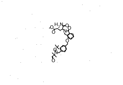 COC(=O)CCC(C(N)=O)N1Cc2c(OCc3ccc(CN(OC(C)(C)C)C(C)(C)C=O)cc3)cccc2C1=O